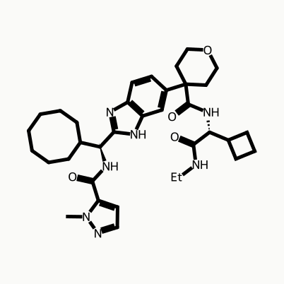 CCNC(=O)[C@H](NC(=O)C1(c2ccc3nc([C@@H](NC(=O)c4ccnn4C)C4CCCCCCC4)[nH]c3c2)CCOCC1)C1CCC1